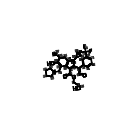 CCOC(=O)c1c(C(=S=O)c2cccc(C(F)(F)F)c2)n(C2CC2)c2cc(Br)c(O)c(CN3CCCC3)c12.Cl